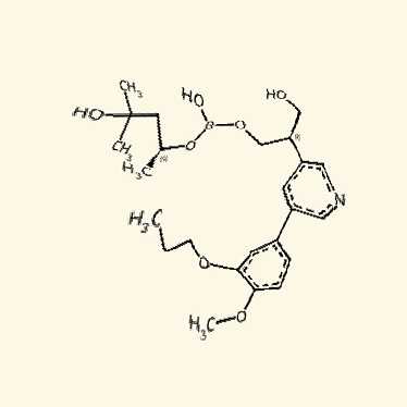 CCCOc1cc(-c2cncc([C@H](CO)COB(O)O[C@@H](C)CC(C)(C)O)c2)ccc1OC